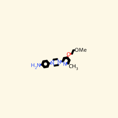 COCCOc1cc(C)nc(N2CCN(c3ccc(N)cc3)CC2)c1